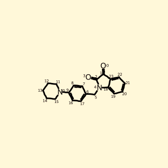 O=C1C(=O)N(Cc2ccc(N3CCCCC3)cc2)c2ccccc21